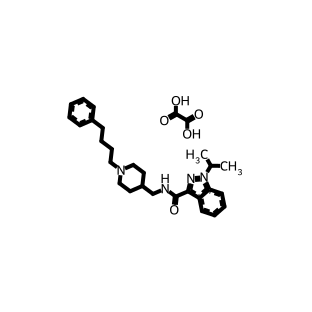 CC(C)n1nc(C(=O)NCC2CCN(CCCCc3ccccc3)CC2)c2ccccc21.O=C(O)C(=O)O